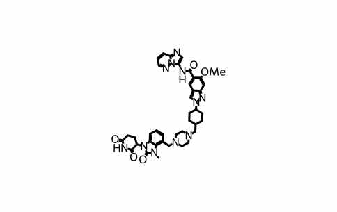 COc1cc2nn(C3CCC(CN4CCN(Cc5cccc6c5n(C)c(=O)n6C5CCC(=O)NC5=O)CC4)CC3)cc2cc1C(=O)Nc1cnc2cccnn12